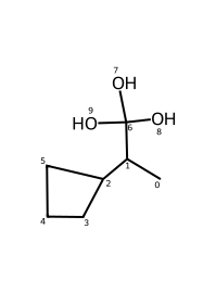 CC(C1CCC1)C(O)(O)O